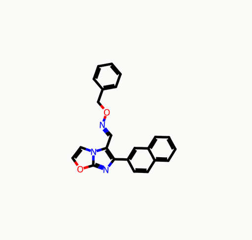 C(=NOCc1ccccc1)c1c(-c2ccc3ccccc3c2)nc2occn12